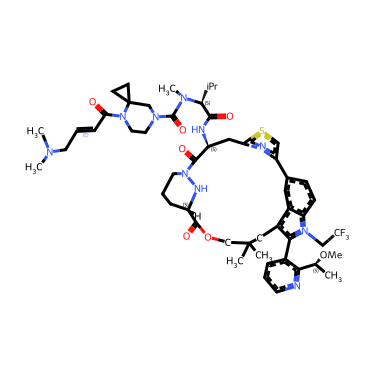 CO[C@@H](C)c1ncccc1-c1c2c3cc(ccc3n1CC(F)(F)F)-c1csc(n1)C[C@H](NC(=O)[C@H](C(C)C)N(C)C(=O)N1CCN(C(=O)/C=C/CN(C)C)C3(CC3)C1)C(=O)N1CCC[C@H](N1)C(=O)OCC(C)(C)C2